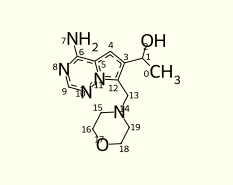 CC(O)c1cc2c(N)ncnn2c1CN1CCOCC1